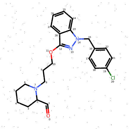 O=CC1CCCCN1CCCOc1nn(Cc2ccc(Cl)cc2)c2ccccc12